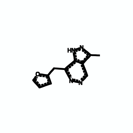 Cc1n[nH]c2c(Cc3ccco3)nncc12